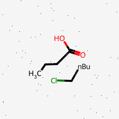 CCCC(=O)O.CCCCCCl